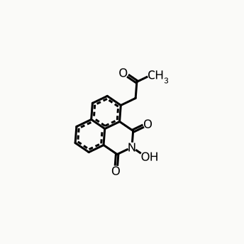 CC(=O)Cc1ccc2cccc3c2c1C(=O)N(O)C3=O